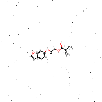 C=C(C)C(=O)OCCOc1ccc2ccoc2c1